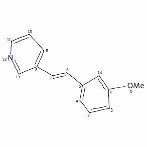 COc1[c]ccc(/C=C/c2cccnc2)c1